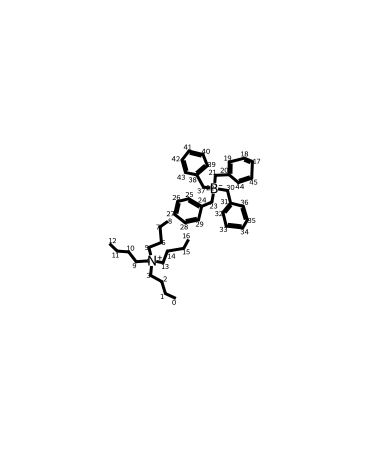 CCCC[N+](CCCC)(CCCC)CCCC.c1ccc(C[B-](Cc2ccccc2)(Cc2ccccc2)Cc2ccccc2)cc1